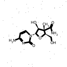 C[C@]1(C(N)=O)[C@H](O)[C@@H](n2ccc(N)nc2=O)O[C@@H]1CO